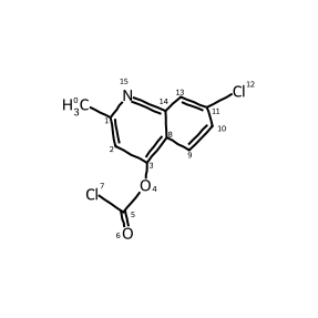 Cc1cc(OC(=O)Cl)c2ccc(Cl)cc2n1